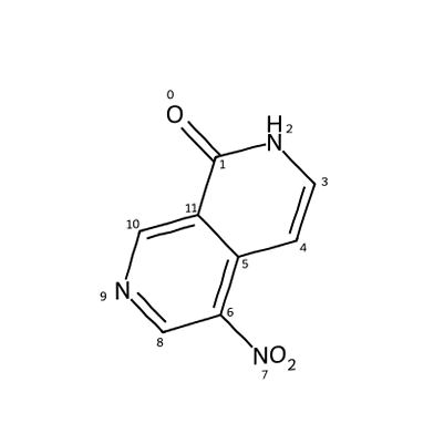 O=c1[nH]ccc2c([N+](=O)[O-])cncc12